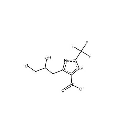 O=[N+]([O-])c1[nH]c(C(F)(F)F)nc1CC(O)CCl